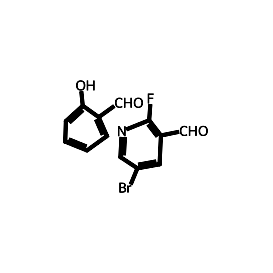 O=Cc1cc(Br)cnc1F.O=Cc1ccccc1O